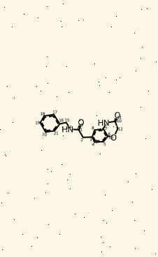 O=C(Cc1ccc2c(c1)NC(=O)CO2)NCc1ccccc1